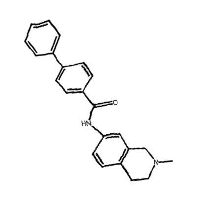 CN1CCc2ccc(NC(=O)c3ccc(-c4ccccc4)cc3)cc2C1